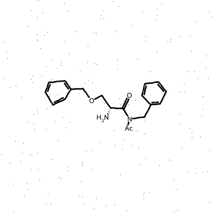 CC(=O)N(Cc1ccccc1)C(=O)[C@H](N)COCc1ccccc1